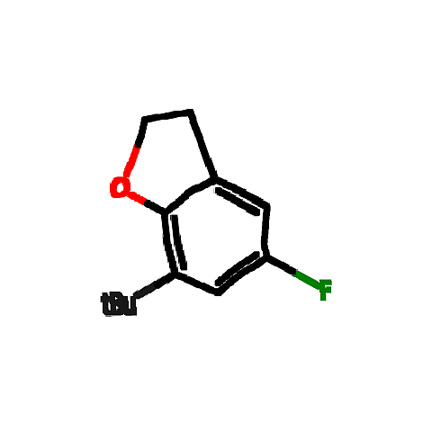 CC(C)(C)c1cc(F)cc2c1OCC2